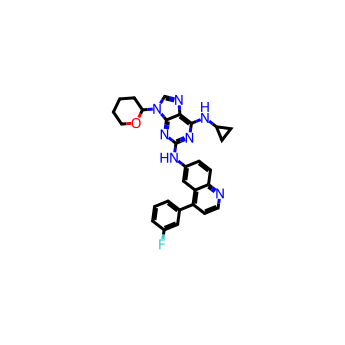 Fc1cccc(-c2ccnc3ccc(Nc4nc(NC5CC5)c5ncn(C6CCCCO6)c5n4)cc23)c1